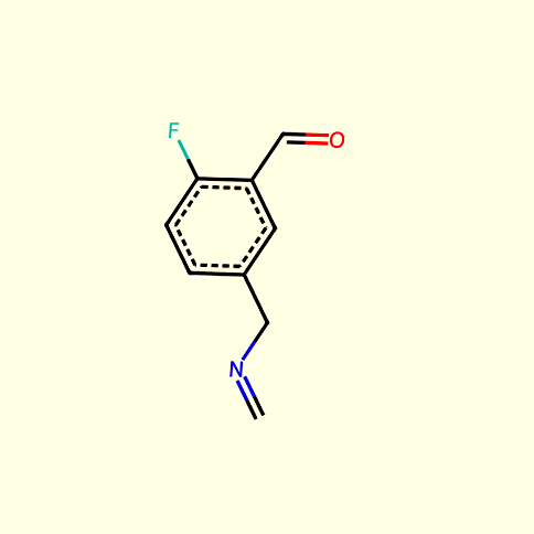 C=NCc1ccc(F)c(C=O)c1